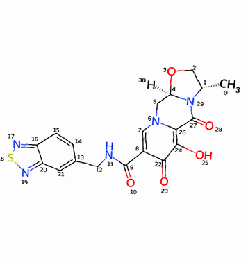 C[C@H]1CO[C@@H]2Cn3cc(C(=O)NCc4ccc5nsnc5c4)c(=O)c(O)c3C(=O)N12